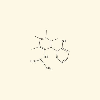 Cc1c(C)c(C)c(-c2ccccc2O)c(O)c1C.[SiH3]O[SiH3]